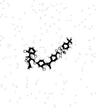 CC1C(c2ccc(C(=O)NS(=O)(=O)c3ccc(C(C)(C)C)cc3)cc2)C1c1ccc(OCc2c(-c3c(Cl)cccc3Cl)noc2C2CC2)cc1Cl